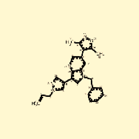 C=CCn1cc(-c2cn(Cc3ccccc3)c3cc(-c4c(C)noc4C)cnc23)cn1